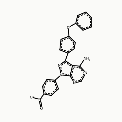 Nc1ncnc2c1c(-c1ccc(Oc3ccccc3)cc1)nn2-c1ccc([N+](=O)[O-])cc1